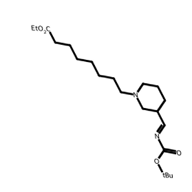 CCOC(=O)CCCCCCCN1CCCC(/C=N/C(=O)OC(C)(C)C)C1